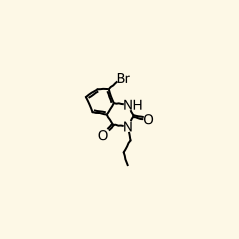 CCCn1c(=O)[nH]c2c(Br)cccc2c1=O